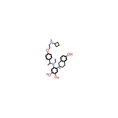 CCN(c1cc(OC)c(OC)cc1[C@@H]1CCc2cc(O)ccc2C1)C(C)c1ccc(OCCN(C)C2CCC2)cc1